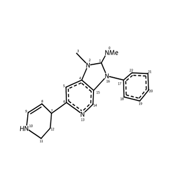 CNC1N(C)c2cc(C3C=CNCC3)ncc2N1c1ccccc1